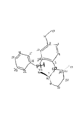 CCc1ccc(P2[C@H](C)CCC[C@H]2C)c(Pc2ccccc2)c1